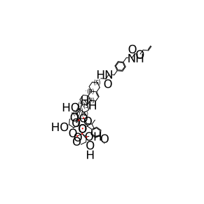 C=CCOC(=O)NCc1ccc(CNC(=O)C[C@H]2CC[C@@]3(C)C(=CC[C@@H]4C3CC[C@@]3(C)[C@H]4C[C@H](OC4OCC(O)C(OC5OCC(O)C(O)C5OC(=O)c5ccc(OC)cc5)C4OC(C)=O)[C@]3(O)[C@H](C)C(=O)CCC(C)C)C2)cc1